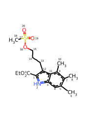 CCOC(=O)c1[nH]c2cc(C)c(C)c(C)c2c1CCCOS(C)(=O)=O